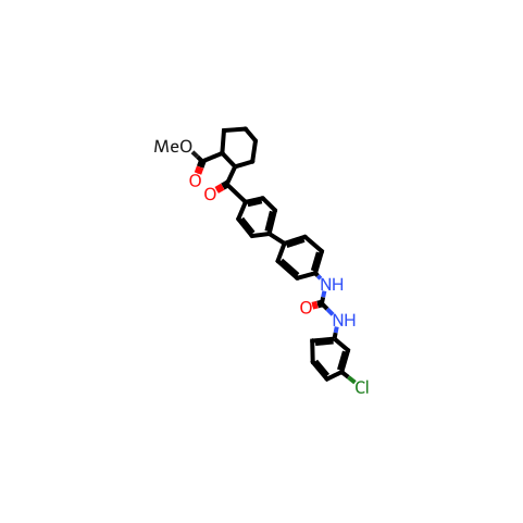 COC(=O)C1CCCCC1C(=O)c1ccc(-c2ccc(NC(=O)Nc3cccc(Cl)c3)cc2)cc1